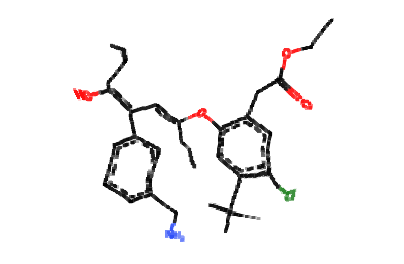 CCOC(=O)Cc1cc(Cl)c(C(C)(C)C)cc1O/C(=C/C(=C(/O)CC)c1cccc(CN)c1)CC